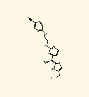 CCC1=CS/C(=C(/N)c2ccnc(NCCNc3ccc(C#N)cn3)n2)N1